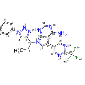 CCC(c1cn(-c2ccccc2)nn1)n1cc(-c2cnc(C(F)(F)F)nc2)c2c(N)ncnc21